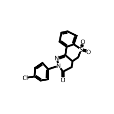 O=C1CC2CS(=O)(=O)c3ccccc3C2=NN1c1ccc(Cl)cc1